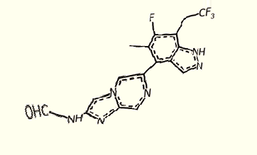 Cc1c(F)c(CC(F)(F)F)c2[nH]ncc2c1-c1cn2cc(NC=O)nc2cn1